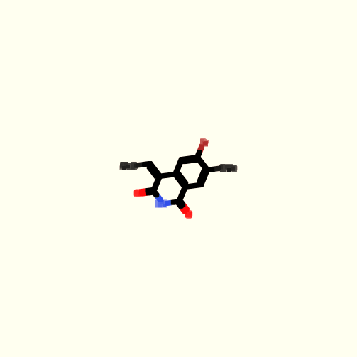 COC=C1C(=O)NC(=O)c2cc(OC)c(Br)cc21